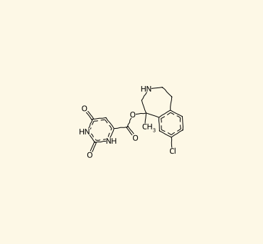 CC1(OC(=O)c2cc(=O)[nH]c(=O)[nH]2)CNCCc2ccc(Cl)cc21